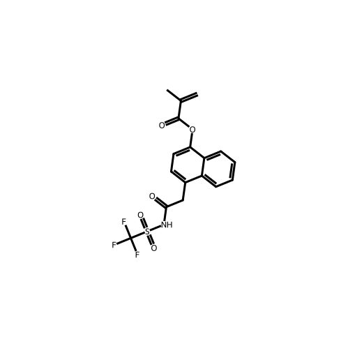 C=C(C)C(=O)Oc1ccc(CC(=O)NS(=O)(=O)C(F)(F)F)c2ccccc12